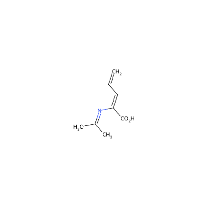 C=C/C=C(\N=C(C)C)C(=O)O